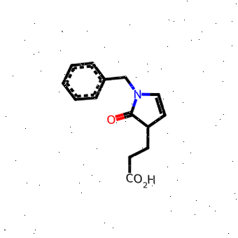 O=C(O)CCC1C=CN(Cc2ccccc2)C1=O